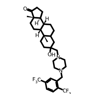 C[C@]12CCC(O)(CN3CCN(Cc4cc(C(F)(F)F)ccc4C(F)(F)F)CC3)CC1CC[C@@H]1[C@H]2CC[C@]2(C)C(=O)CC[C@@H]12